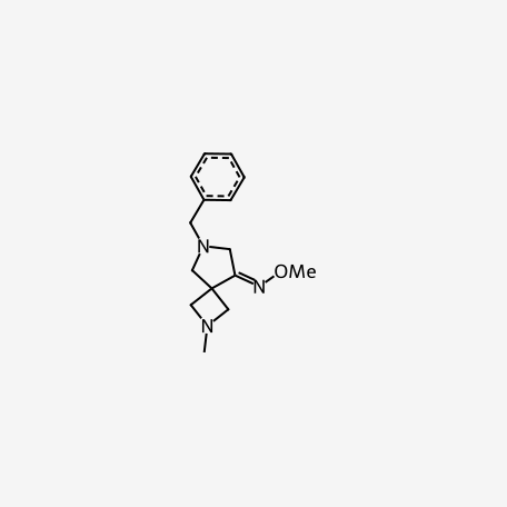 CON=C1CN(Cc2ccccc2)CC12CN(C)C2